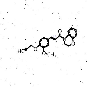 C#CCOc1ccc(/C=C/C(=O)N2CCOc3ccccc32)cc1OC